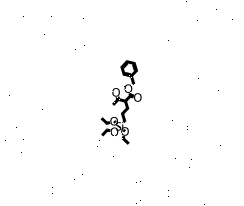 CCO[Si](CCCC(C(C)=O)C(=O)OCc1ccccc1)(OCC)OCC